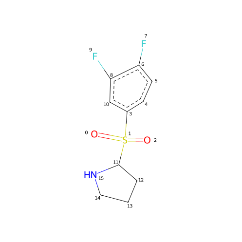 O=S(=O)(c1ccc(F)c(F)c1)C1CCCN1